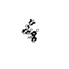 CC1CN(C(=O)CN2CC(C)(C)OCC2C(=O)Nc2cc(Cl)cc3c2[nH]c2cnccc23)CC(C)O1